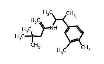 C=C(CC(C)(C)C)NC(C)C(C)c1ccc(C)c(C)c1